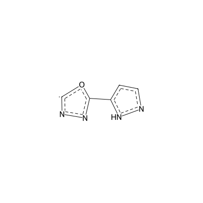 [c]1nnc(-c2ccn[nH]2)o1